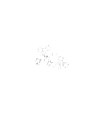 O=C(Nc1ccc2nc(SCc3ccccn3)n(CCCC3(C(=O)NCC(F)(F)F)c4ccccc4-c4ccccc43)c2c1)c1ccccc1-c1ccc(C(F)(F)F)cc1